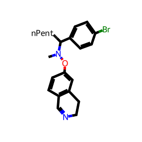 CCCCCC(c1ccc(Br)cc1)N(C)Oc1ccc2c(c1)CCN=C2